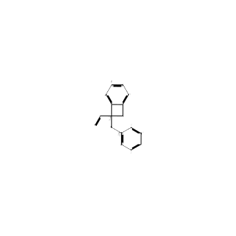 C=CC1(Cc2ccccc2)Cc2ccccc21